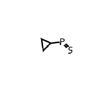 S=PC1CC1